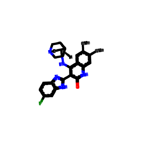 COc1cc2[nH]c(=O)c(-c3nc4ccc(F)cc4[nH]3)c(N[C@H]3CN4CCC3CC4)c2cc1OC